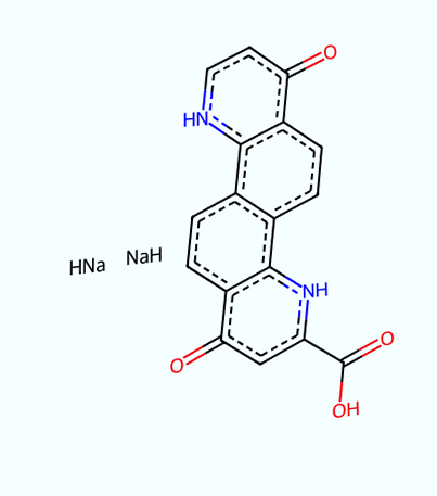 O=C(O)c1cc(=O)c2ccc3c(ccc4c(=O)cc[nH]c43)c2[nH]1.[NaH].[NaH]